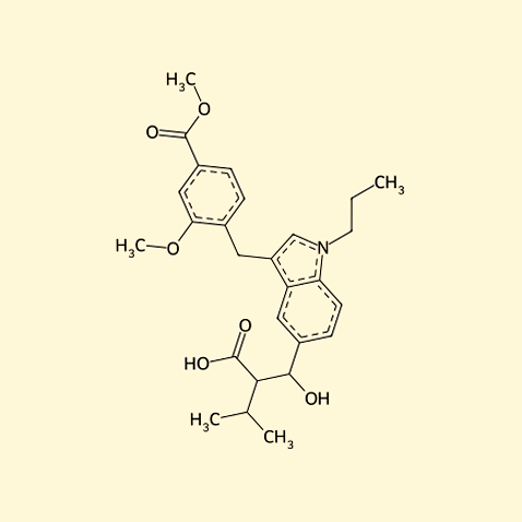 CCCn1cc(Cc2ccc(C(=O)OC)cc2OC)c2cc(C(O)C(C(=O)O)C(C)C)ccc21